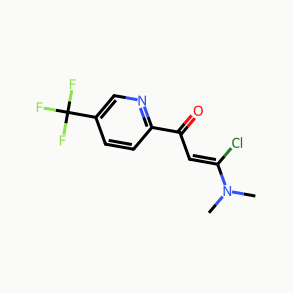 CN(C)C(Cl)=CC(=O)c1ccc(C(F)(F)F)cn1